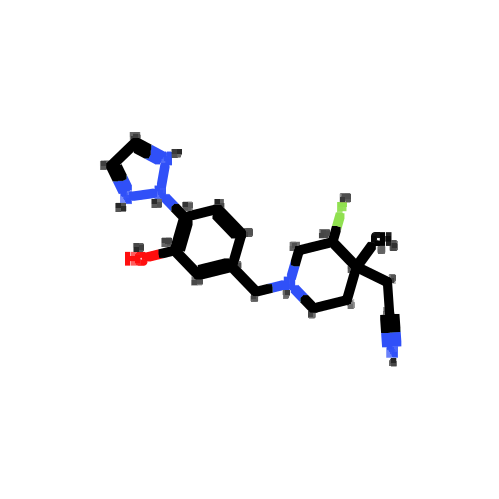 CC1(CC#N)CCN(Cc2ccc(-n3nccn3)c(O)c2)CC1F